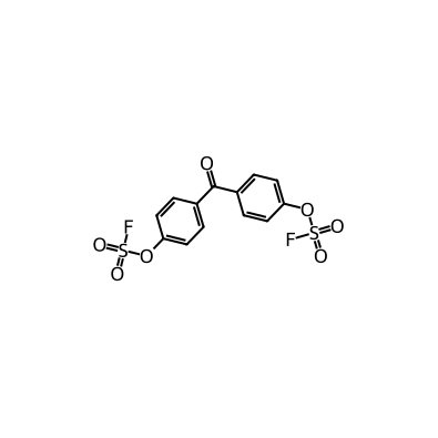 O=C(c1ccc(OS(=O)(=O)F)cc1)c1ccc(OS(=O)(=O)F)cc1